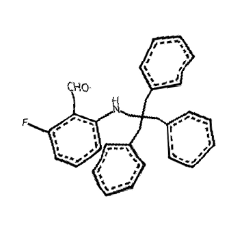 O=[C]c1c(F)cccc1NC(c1ccccc1)(c1ccccc1)c1ccccc1